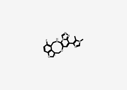 Cc1c(-c2cc3c(n4cnnc24)NCc2c(F)ccc4c2[C@@H](CO4)CO3)ncn1C